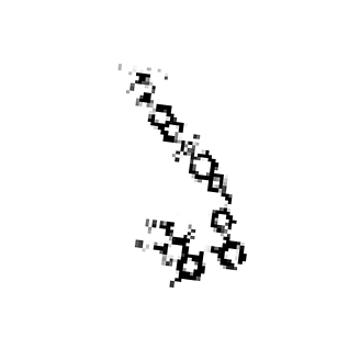 CC(C)N(C(=O)c1cc(F)ccc1Oc1cncnc1N1CC[C@@H](CN2CC3(CCN(S(=O)(=O)N4CC5CN(C(=O)OC(C)(C)C)CC5C4)CC3)C2)C1)C(C)C